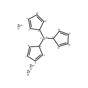 C1=C[CH]([Zr-2]([CH]2C=CC=C2)[CH]2C=CC=C2)C=C1.[Zr+].[Zr+].[Zr]